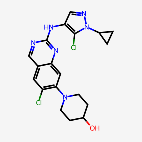 OC1CCN(c2cc3nc(Nc4cnn(C5CC5)c4Cl)ncc3cc2Cl)CC1